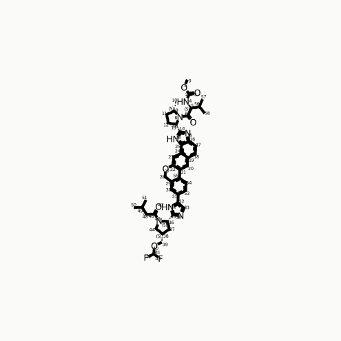 COC(=O)N[C@H](C(=O)N1[C@@H](C)CC[C@H]1c1nc2ccc3cc4c(cc3c2[nH]1)OCc1cc(-c2cnc([C@@H]3C[C@H](COC(F)F)CN3C(=O)[CH]C(C)C)[nH]2)ccc1-4)C(C)C